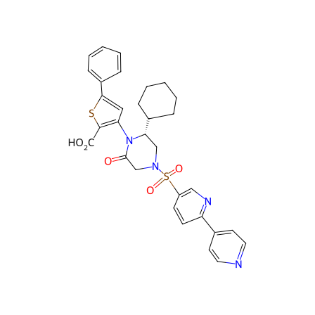 O=C(O)c1sc(-c2ccccc2)cc1N1C(=O)CN(S(=O)(=O)c2ccc(-c3ccncc3)nc2)C[C@H]1C1CCCCC1